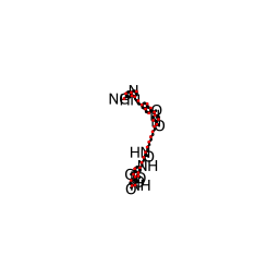 N#Cc1ccc2nccc(NCCc3ccc4cc(C(=O)N5CCN(C(=O)CCCCCCCCCCNC(=O)CCCNc6ccc7c(c6)C(=O)N(C6CCC(=O)NC6=O)C7=O)CC5)ccc4c3)c2c1